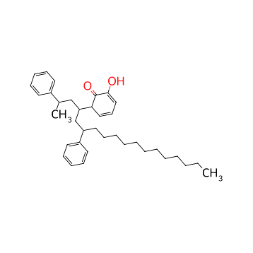 CCCCCCCCCCCCC(CC(CC(C)c1ccccc1)C1C=CC=C(O)C1=O)c1ccccc1